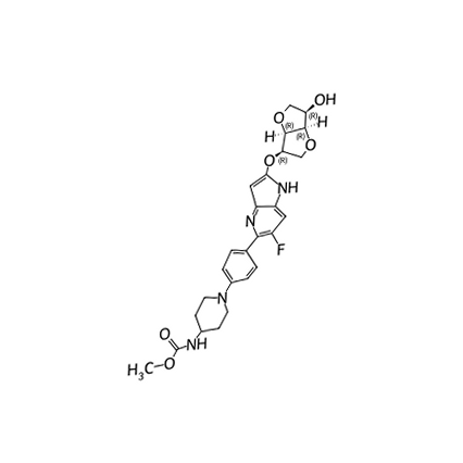 COC(=O)NC1CCN(c2ccc(-c3nc4cc(O[C@@H]5CO[C@H]6[C@@H]5OC[C@H]6O)[nH]c4cc3F)cc2)CC1